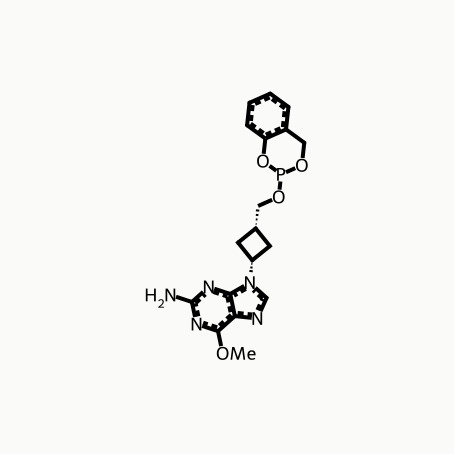 COc1nc(N)nc2c1ncn2[C@H]1C[C@@H](COP2OCc3ccccc3O2)C1